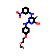 COCCOc1ccc(Nc2nc(O)c(F)c(Nc3cccc([N+](=O)[O-])c3)n2)cc1